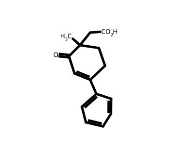 CC1(CC(=O)O)CCC(c2ccccc2)=CC1=O